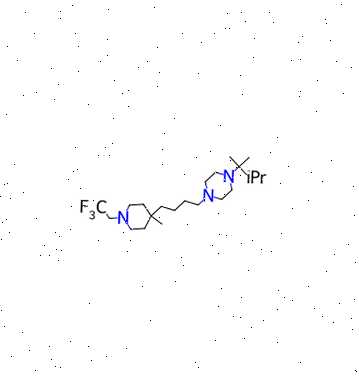 CC(C)C(C)(C)N1CCN(CCCCC2(C)CCN(CC(F)(F)F)CC2)CC1